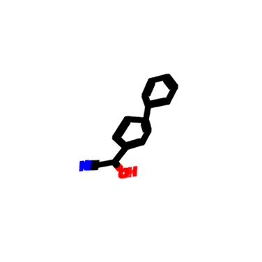 N#CC(O)c1ccc(-c2ccccc2)cc1